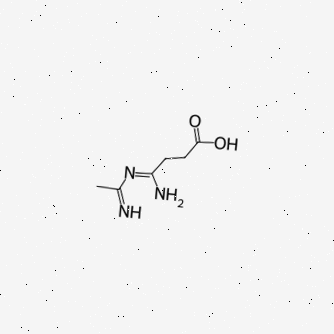 CC(=N)/N=C(\N)CCC(=O)O